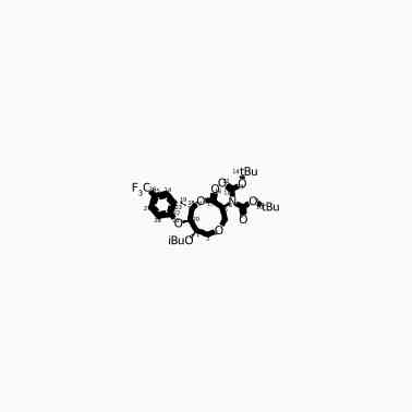 CC(C)CO[C@H]1COC[C@H](N(C(=O)OC(C)(C)C)C(=O)OC(C)(C)C)C(=O)O[C@@H](C)[C@@H]1Oc1ccc(C(F)(F)F)cc1